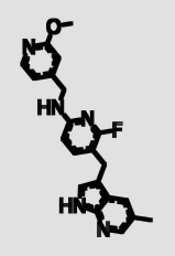 COc1cc(CNc2ccc(Cc3c[nH]c4ncc(C)cc34)c(F)n2)ccn1